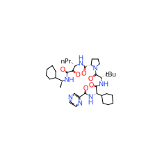 CCC[C@H](NC(=O)[C@@H]1CCCN1C(=O)[C@@H](NC(=O)[C@@H](NC(=O)c1cnccn1)C1CCCCC1)C(C)(C)C)C(=O)C(=O)N[C@@H](C)C1CCCCC1